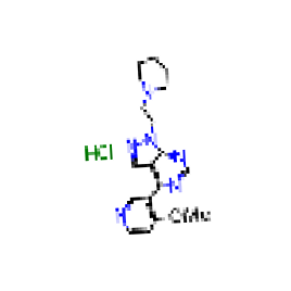 COc1ccncc1-c1ncnc2c1cnn2CCN1CCCCC1.Cl